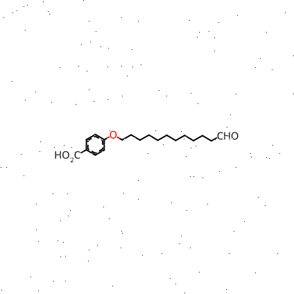 O=CCCCCCCCCCCCOc1ccc(C(=O)O)cc1